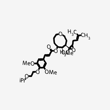 COc1cc(/C=C/C(=O)OC2CCCOCC[C@@H](C3(C)OC3CC=C(C)C)[C@@H]2OC)cc(OC)c1OCCOC(C)C